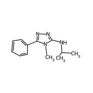 CC(C)Nc1nnc(-c2ccccc2)n1C